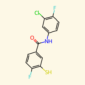 O=C(Nc1ccc(F)c(Cl)c1)c1ccc(F)c(S)c1